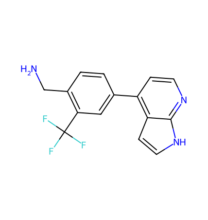 NCc1ccc(-c2ccnc3[nH]ccc23)cc1C(F)(F)F